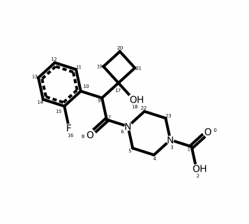 O=C(O)N1CCN(C(=O)C(c2ccccc2F)C2(O)CCC2)CC1